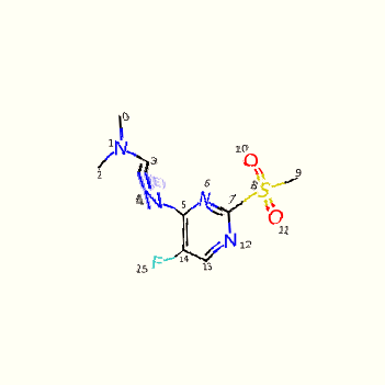 CN(C)/C=N/c1nc(S(C)(=O)=O)ncc1F